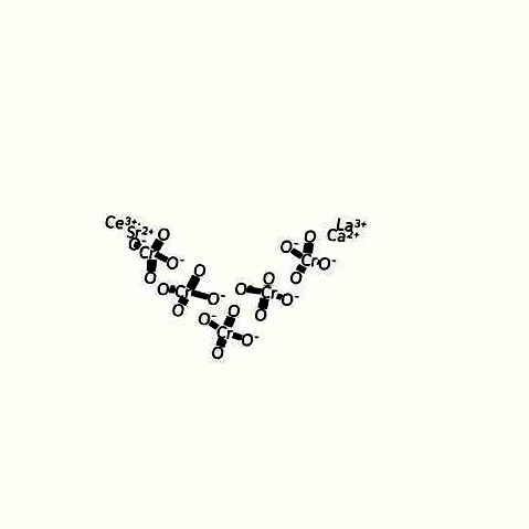 [Ca+2].[Ce+3].[La+3].[O]=[Cr](=[O])([O-])[O-].[O]=[Cr](=[O])([O-])[O-].[O]=[Cr](=[O])([O-])[O-].[O]=[Cr](=[O])([O-])[O-].[O]=[Cr](=[O])([O-])[O-].[Sr+2]